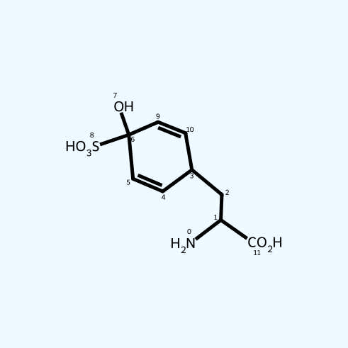 NC(CC1C=CC(O)(S(=O)(=O)O)C=C1)C(=O)O